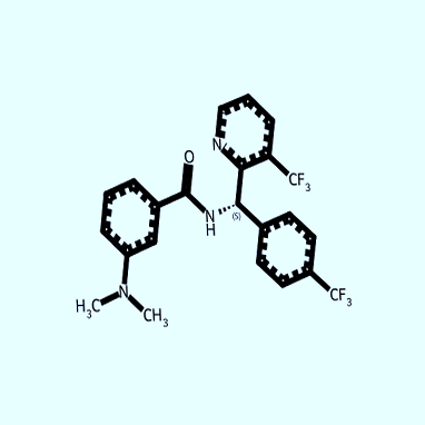 CN(C)c1cccc(C(=O)N[C@@H](c2ccc(C(F)(F)F)cc2)c2ncccc2C(F)(F)F)c1